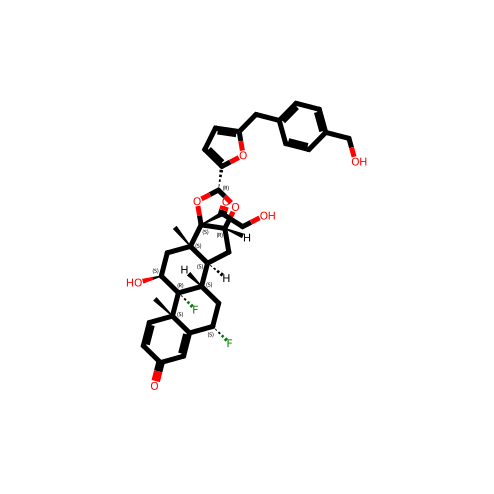 C[C@]12C=CC(=O)C=C1[C@@H](F)C[C@H]1[C@@H]3C[C@H]4O[C@@H](c5ccc(Cc6ccc(CO)cc6)o5)O[C@@]4(C(=O)CO)[C@@]3(C)C[C@H](O)[C@@]12F